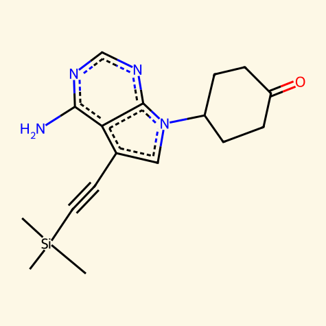 C[Si](C)(C)C#Cc1cn(C2CCC(=O)CC2)c2ncnc(N)c12